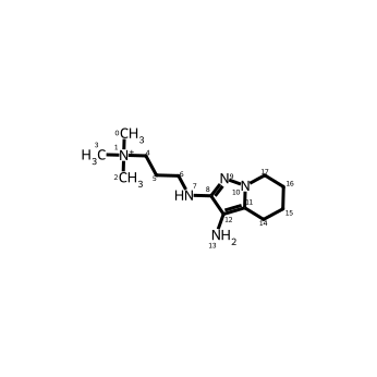 C[N+](C)(C)CCCNc1nn2c(c1N)CCCC2